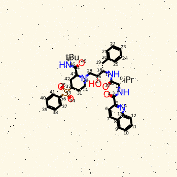 CC(C)[C@H](NC(=O)c1ccc2ccccc2n1)C(=O)N[C@@H](Cc1ccccc1)[C@H](O)CN1CC[C@@H](S(=O)(=O)c2ccccc2)CC1C(=O)NC(C)(C)C